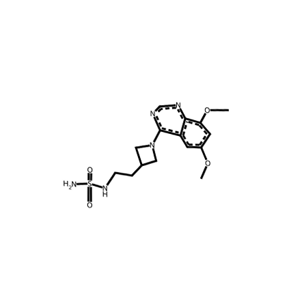 COc1cc(OC)c2ncnc(N3CC(CCNS(N)(=O)=O)C3)c2c1